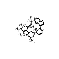 CC(=N)/C(=C(/C)N)C1CN(C2C=CN=C(c3cnc4cnc(C(F)(F)F)cn34)N2)CC(C)N1